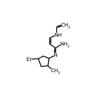 C=CN/C=C\C(N)=N/C1CC(CC)CC1C